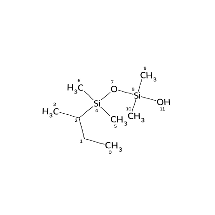 CCC(C)[Si](C)(C)O[Si](C)(C)O